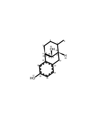 CC1CC[C@]23CCCC[C@@]2(O)[C@H]1Cc1ccc(O)cc13